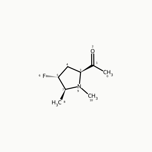 CC(=O)[C@@H]1C[C@@H](F)[C@H](C)N1C